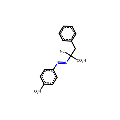 N#CC(Cc1ccccc1)(N=Nc1ccc([N+](=O)[O-])cc1)C(=O)O